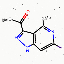 CNc1nc(I)cc2[nH]nc(C(=O)OC)c12